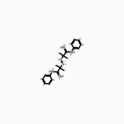 CC(C)(/N=N/C(C)(C)C(=N)Nc1ccccc1)C(=N)Nc1ccccc1